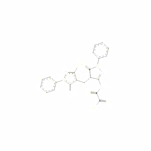 C=C(C)C(=O)NC1=NN(c2ccccc2)C(=O)C1Cc1c(C)nn(-c2ccccc2)c1O